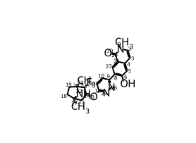 Cn1ccc2cc(O)c(-c3ccc(O[C@H]4C[C@]5(C)CC[C@@](C)(N5)[C@H]4F)nn3)cc2c1=O